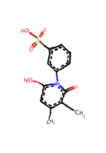 Cc1cc(O)n(-c2cccc(S(=O)(=O)O)c2)c(=O)c1C